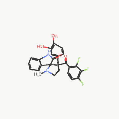 CN1CCC(C(=O)c2ccc(F)c(F)c2F)(c2ccc(O)c(O)c2)C12C(=O)Nc1ccccc12